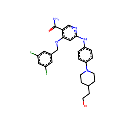 NC(=O)c1cnc(Nc2ccc(N3CCC(CCO)CC3)cc2)cc1NCc1cc(F)cc(F)c1